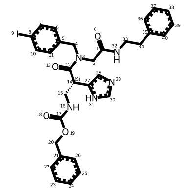 O=C(CN(Cc1ccc(I)cc1)C(=O)[C@@H](CNC(=O)OCc1ccccc1)c1cnc[nH]1)NCCc1ccccc1